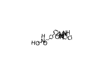 N=C1C=C(Cl)C=C/C1=N/Nc1cccc(-c2ccc(CCC(=O)NCCO)cc2)c1O